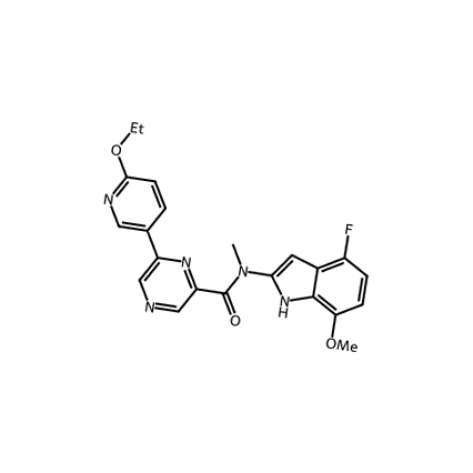 CCOc1ccc(-c2cncc(C(=O)N(C)c3cc4c(F)ccc(OC)c4[nH]3)n2)cn1